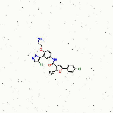 Cn1ncc(Cl)c1-c1cc(NC(=O)c2cc(-c3ccc(Cl)cc3)oc2C(F)(F)F)ccc1OCCN